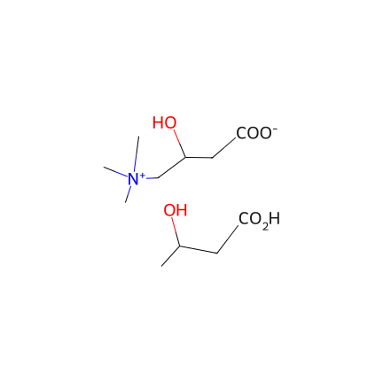 CC(O)CC(=O)O.C[N+](C)(C)CC(O)CC(=O)[O-]